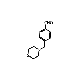 O=Cc1ccc(CN2CCSCC2)cc1